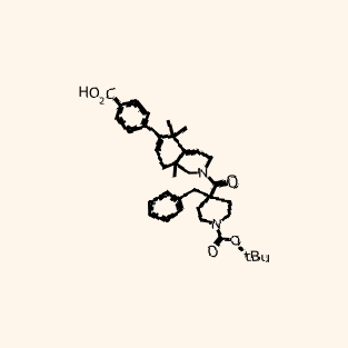 CC(C)(C)OC(=O)N1CCC(Cc2ccccc2)(C(=O)N2CC=C3C(C)(CC=C(c4ccc(C(=O)O)cc4)C3(C)C)C2)CC1